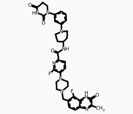 Cc1nc2ccc(CN3CCN(c4ccc(C(=O)NC5CCN(c6cccc(N7CCC(=O)NC7=O)c6)CC5)nc4F)CC3)c(F)c2[nH]c1=O